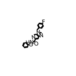 O=C(NOc1ccccc1)c1cc2ncn(Cc3ccc(F)cc3)c2cn1